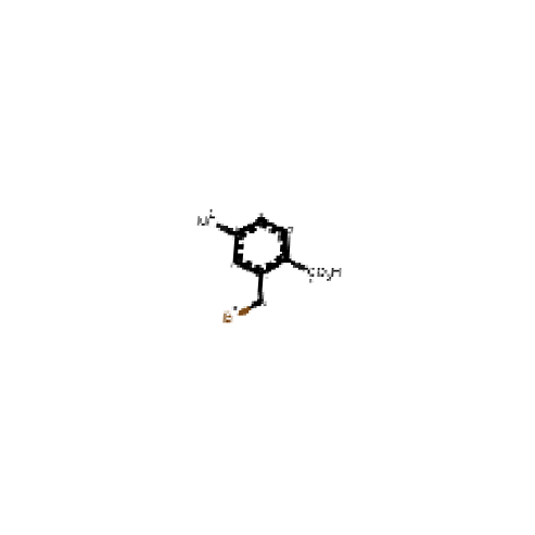 N#Cc1ccc(C(=O)O)c(CBr)c1